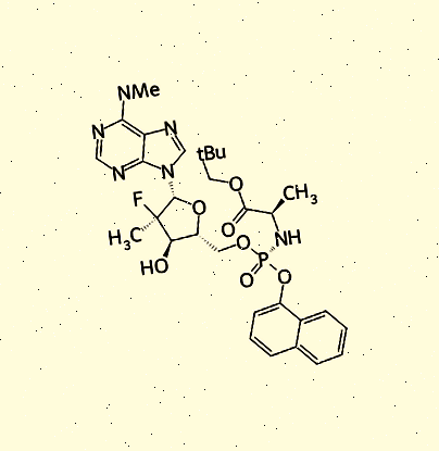 CNc1ncnc2c1ncn2[C@@H]1O[C@H](CO[P@@](=O)(N[C@H](C)C(=O)OCC(C)(C)C)Oc2cccc3ccccc23)[C@@H](O)[C@@]1(C)F